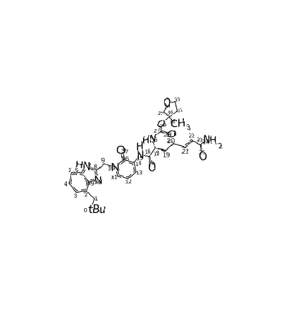 CC(C)(C)Cc1cccc2[nH]c(Cn3cccc(NC(=O)[C@H](CC/C=C/C(N)=O)NC(=O)OC4(C)CCOC4)c3=O)nc12